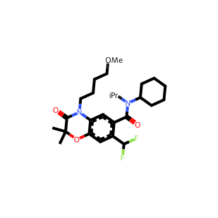 COCCCCN1C(=O)C(C)(C)Oc2cc(C(F)F)c(C(=O)N(C(C)C)C3CCCCC3)cc21